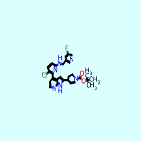 CC(C)(C)OC(=O)N1CCC(c2cc3c(-c4nc(NCc5cncc(F)c5)ccc4Cl)ccnc3[nH]2)CC1